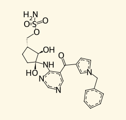 NS(=O)(=O)OC[C@H]1CC[C@@](O)(Nc2ncncc2C(=O)c2ccn(Cc3ccccc3)c2)[C@@H]1O